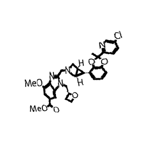 COC(=O)c1cc(OC)c2nc(CN3C[C@@H]4[C@H](C3)[C@H]4c3cccc4c3OC(C)(c3ccc(Cl)cn3)O4)n(C[C@@H]3CCO3)c2c1